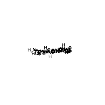 NCC[C@@H](CCCC(=O)NCC(=O)Nc1ccc(/N=N/c2ccc(NC(=O)CN3C(=O)C=CC3=O)cc2)cc1)C(=O)O